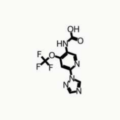 O=C(O)Nc1cnc(-n2cncn2)cc1OC(F)(F)F